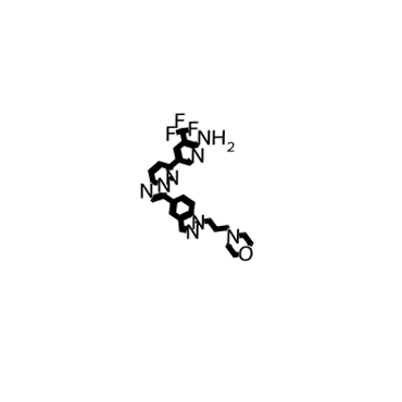 Nc1ncc(-c2ccc3ncc(-c4ccc5c(cnn5CCCN5CCOCC5)c4)n3n2)cc1C(F)(F)F